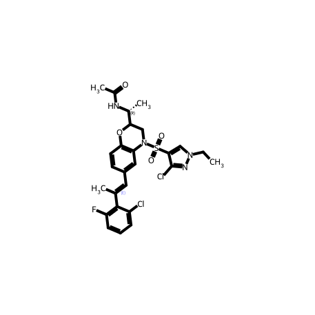 CCn1cc(S(=O)(=O)N2CC([C@@H](C)NC(C)=O)Oc3ccc(/C=C(\C)c4c(F)cccc4Cl)cc32)c(Cl)n1